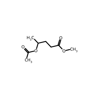 COC(=O)CCC(C)OC(C)=O